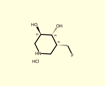 Cl.O[C@@H]1[C@H](CF)CNC[C@H]1O